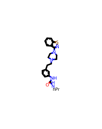 CCCNC(=O)Nc1cccc(CCN2CCN(c3nsc4ccccc34)CC2)c1